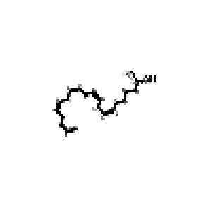 CC/C=C\C/C=C\C/C=C\C/C=C\C/C=C\CCCCC(O)O